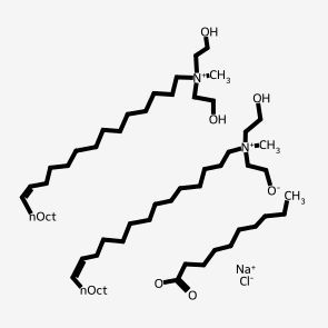 CCCCCCCC/C=C\CCCCCCCCCCCC[N+](C)(CCO)CCO.CCCCCCCC/C=C\CCCCCCCCCCCC[N+](C)(CC[O-])CCO.CCCCCCCCCC(=O)[O-].[Cl-].[Na+]